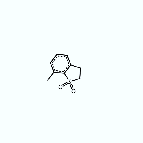 Cc1cccc2c1S(=O)(=O)CC2